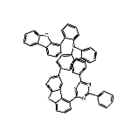 c1ccc(-c2nc(-c3ccccc3)nc(-c3cccc4sc5ccc(-c6ccc7c(c6)c6ccccc6n7-c6ccccc6-c6cccc7c6oc6ccccc67)cc5c34)n2)cc1